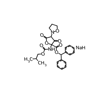 CC(C)COC(=O)NC1(C(=O)OC(c2ccccc2)c2ccccc2)OC(=O)C(N2CCCO2)C1=O.[NaH]